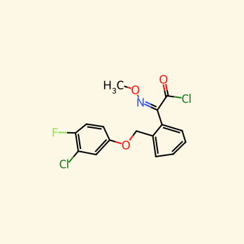 CON=C(C(=O)Cl)c1ccccc1COc1ccc(F)c(Cl)c1